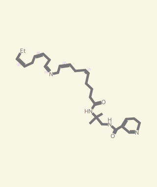 CC/C=C\C/C=C\C/C=N\C/C=C\C/C=C\CCCC(=O)NC(C)(C)CNC(=O)C1=CCCN=C1